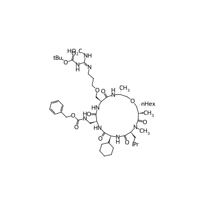 CCCCCC[C@H]1OC[C@@H](C)NC(=O)[C@H](COCCCN=C(NC(=O)O)NC(=O)OC(C)(C)C)NC(=O)[C@H](CNC(=O)OCc2ccccc2)NC(=O)[C@H](C2CCCCC2)NC(=O)[C@H](CC(C)C)N(C)C(=O)[C@@H]1C